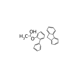 CC(O)Oc1ccccc1-c1ccccc1.c1ccc2c(c1)Cc1ccccc1-2